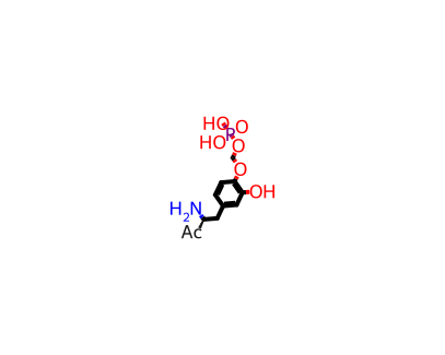 CC(=O)[C@@H](N)Cc1ccc(OCOP(=O)(O)O)c(O)c1